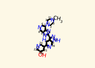 CN1CCN(c2cncc3[nH]c(-c4n[nH]c5cnc(-c6cncc(O)c6)cc45)nc23)CC1